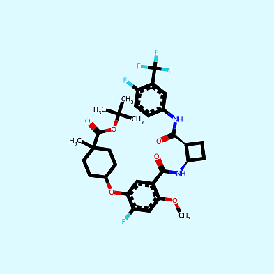 COc1cc(F)c(OC2CCC(C)(C(=O)OC(C)(C)C)CC2)cc1C(=O)N[C@@H]1CC[C@@H]1C(=O)Nc1ccc(F)c(C(F)(F)F)c1